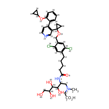 CN(CC(=O)O)CC(NC(=O)CCCCc1cc(Cl)c(COC2(c3cnccc3-c3ccccc3OC3CC3)CC2)cc1Cl)C(O)C(O)C(O)CO